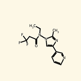 CCN(C(=O)CC(F)(F)F)n1cc(-c2cccnc2)nc1C